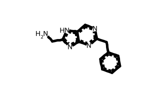 NCc1nc2nc(Cc3ccccc3)ncc2[nH]1